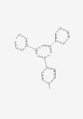 CC(C)(C)c1ccc(-c2nc(-c3ccccc3)cc(-c3ccncc3)n2)cc1